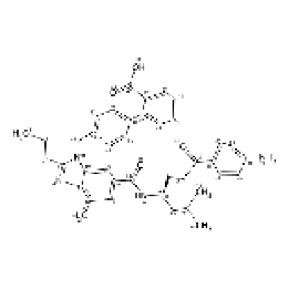 CCCc1nc2c(C)cc(C(=O)N[C@@H](CSC(=O)c3ccc(N)cc3)CC(C)C)cc2n1Cc1ccc(-c2ccccc2C(=O)O)cc1